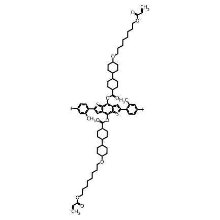 C=CC(=O)OCCCCCCCCOC1CCC(C2CCC(C(=O)Oc3c4cc(-c5ccc(F)cc5C)sc4c(OC(=O)C4CCC(C5CCC(OCCCCCCCCOC(=O)C=C)CC5)CC4)c4cc(-c5ccc(F)cc5C)sc34)CC2)CC1